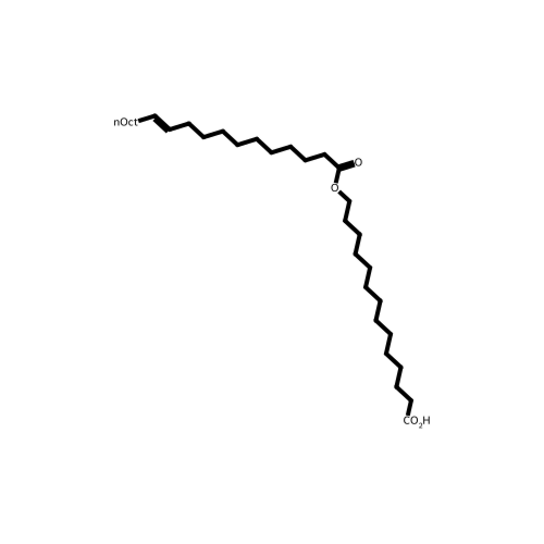 CCCCCCCCC=CCCCCCCCCCC(=O)OCCCCCCCCCCCCCC(=O)O